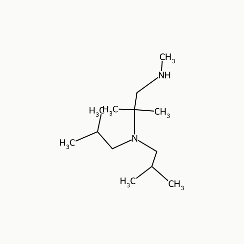 CNCC(C)(C)N(CC(C)C)CC(C)C